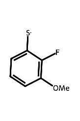 COc1cccc([S])c1F